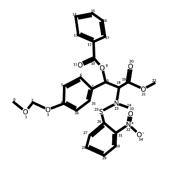 COCOc1ccc(C(OC(=O)c2ccccc2)C(C(=O)OC)N(C)Sc2ccccc2[N+](=O)[O-])cc1